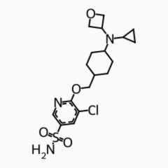 NS(=O)(=O)c1cnc(OCC2CCC(N(C3CC3)C3COC3)CC2)c(Cl)c1